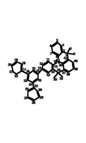 CC1(C)c2ccccc2N2c3ccc(-c4cc(C5=CC=CCC5)cc(-c5ccccc5)c4)cc3C(C)(C)c3cccc1c32